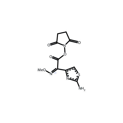 CO/N=C(\C(=O)ON1C(=O)CCC1=O)c1csc(N)n1